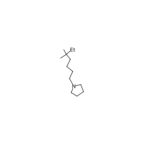 CCC(C)(C)CCCCN1CCCC1